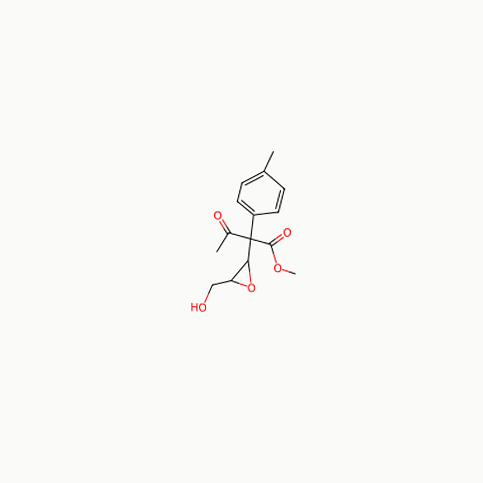 COC(=O)C(C(C)=O)(c1ccc(C)cc1)C1OC1CO